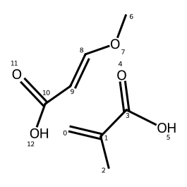 C=C(C)C(=O)O.COC=CC(=O)O